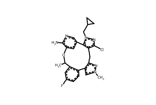 CC1Oc2cc(cnc2N)-c2c(c(Cl)nn2CC2CC2)Cc2nn(C)cc2-c2ccc(F)cc21